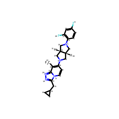 Fc1ccc(N2C[C@@H]3CN(c4ccn5c(CC6CC6)nnc5c4C(F)(F)F)C[C@@H]3C2)c(F)c1